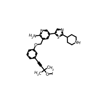 CC(C)(C#Cc1cccc(OCc2cc(-c3cnc(C4CCNCC4)s3)cnc2N)c1)OI